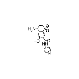 COc1cc2c(cc1C(=O)Nc1ccncc1)S(=O)(=O)CCC2N